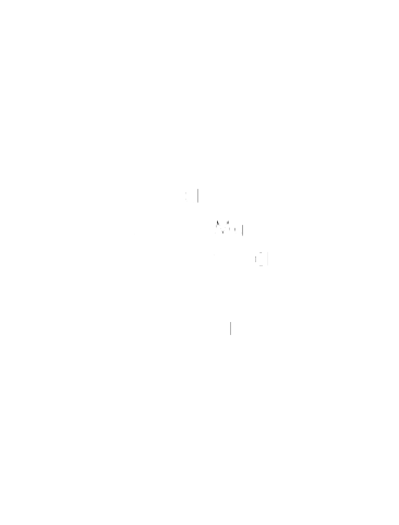 Fc1cc[c]cc1.[Cl][Mg][Cl]